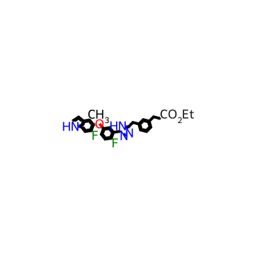 CCOC(=O)CCc1cccc(Cc2nnc(-c3cc(Oc4c(F)cc5[nH]ccc5c4C)ccc3F)[nH]2)c1